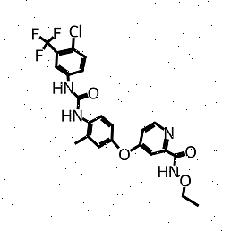 CCONC(=O)c1cc(Oc2ccc(NC(=O)Nc3ccc(Cl)c(C(F)(F)F)c3)c(C)c2)ccn1